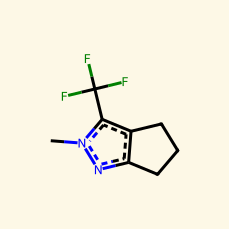 Cn1nc2c(c1C(F)(F)F)CCC2